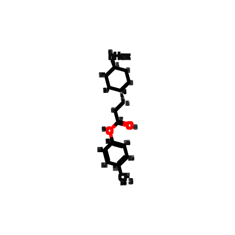 CCCCCC[C@H]1CC[C@H](CCC(=O)Oc2ccc(C(F)(F)F)cc2)CC1